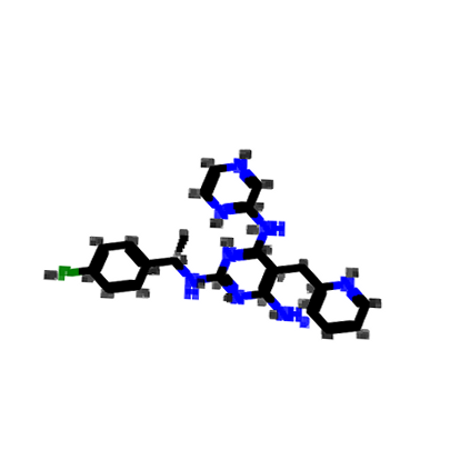 C[C@H](Nc1nc(N)c(Cc2ccccn2)c(Nc2cnccn2)n1)c1ccc(F)cc1